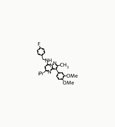 COc1ccc(-c2c(C)nn3c(NCc4ccc(F)cc4)cc(C(C)C)nc23)cc1OC